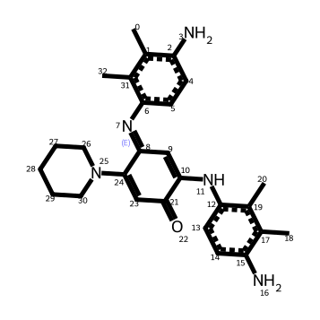 Cc1c(N)ccc(/N=C2\C=C(Nc3ccc(N)c(C)c3C)C(=O)C=C2N2CCCCC2)c1C